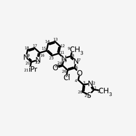 Cc1nc(COc2nc(C)n(-c3cccc(-c4ccnc(C(C)C)n4)c3)c(=O)c2Cl)cs1